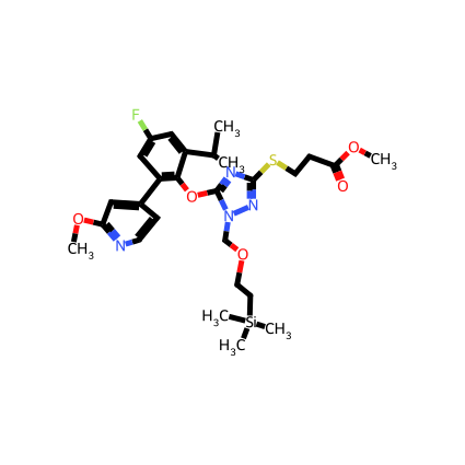 COC(=O)CCSc1nc(Oc2c(-c3ccnc(OC)c3)cc(F)cc2C(C)C)n(COCC[Si](C)(C)C)n1